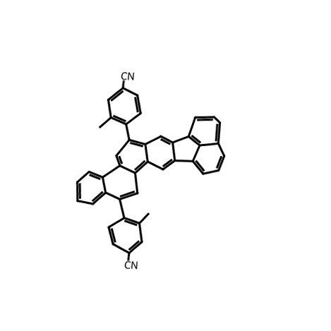 Cc1cc(C#N)ccc1-c1cc2c3cc4c(cc3c(-c3ccc(C#N)cc3C)cc2c2ccccc12)-c1cccc2cccc-4c12